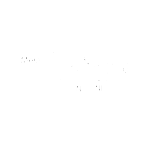 COc1ccc(C2=C3N=CNC34CC(C)C(=O)C3(CC3)C4=N2)cc1